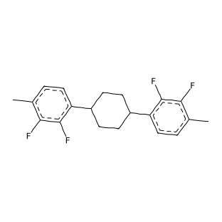 Cc1ccc(C2CCC(c3ccc(C)c(F)c3F)CC2)c(F)c1F